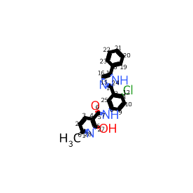 Cc1ccc(C(=O)Nc2ccc(Cl)c(-c3ncc(-c4ccccc4)[nH]3)c2)c(O)n1